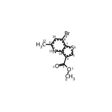 COC(=O)c1csc2c(Br)cc(C)nc12